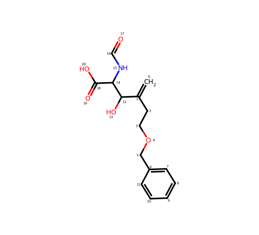 C=C(CCOCc1ccccc1)C(O)C(NC=O)C(=O)O